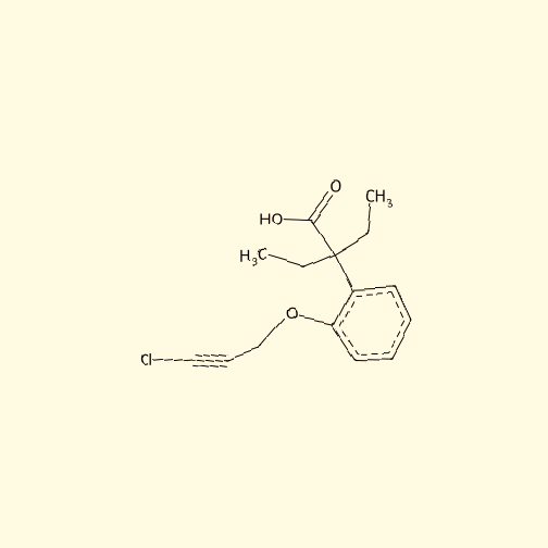 CCC(CC)(C(=O)O)c1ccccc1OCC#CCl